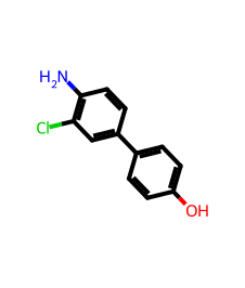 Nc1ccc(-c2ccc(O)cc2)cc1Cl